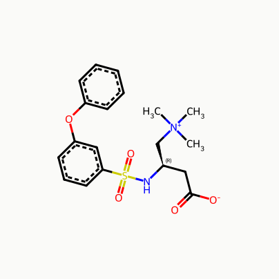 C[N+](C)(C)C[C@@H](CC(=O)[O-])NS(=O)(=O)c1cccc(Oc2ccccc2)c1